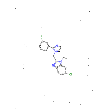 CCn1c(Cn2ccnc2-c2cccc(F)c2)nc2ccc(Cl)cc21